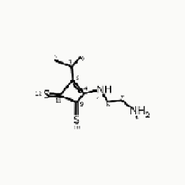 CC(C)c1c(NCCN)c(=S)c1=S